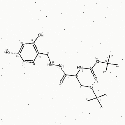 CC(C)(C)OCC(NC(=O)OC(C)(C)C)C(=O)NNCc1ccc(O)cc1O